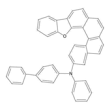 c1ccc(-c2ccc(N(c3ccccc3)c3ccc4c(ccc5ccc6ccc7c8ccccc8oc7c6c54)c3)cc2)cc1